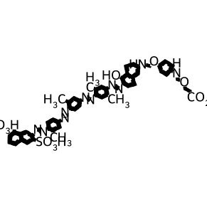 Cc1cc(N=Nc2cc(C)c(N=Nc3ccc4cc(NCOc5ccc(NCOCCC(=O)O)cc5)ccc4c3O)cc2C)ccc1N=Nc1ccc(N=Nc2cc3c(S(=O)(=O)O)cccc3cc2S(=O)(=O)O)c(C)c1